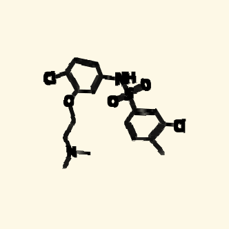 Cc1ccc(S(=O)(=O)Nc2ccc(Cl)c(OCCN(C)C)c2)cc1Cl